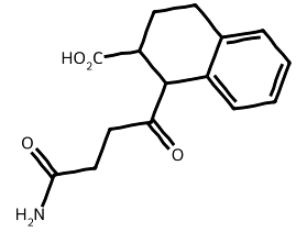 NC(=O)CCC(=O)C1c2ccccc2CCC1C(=O)O